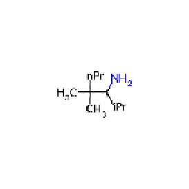 CCCC(C)(C)C(N)C(C)C